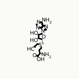 C#CC[S+](CC[C@H](N)C(=O)O)C[C@H]1O[C@@H](n2cnc3c(N)ncnc32)C(O)C1O